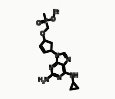 CCOP(C)(=O)COC1C=CC(n2cnc3c(NC4CC4)nc(N)nc32)C1